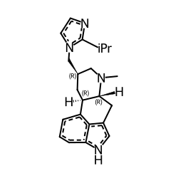 CC(C)c1nccn1C[C@@H]1C[C@@H]2c3cccc4[nH]cc(c34)C[C@H]2N(C)C1